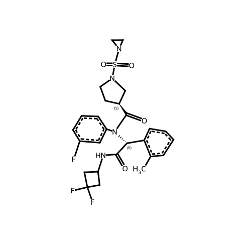 Cc1ccccc1[C@H](C(=O)NC1CC(F)(F)C1)N(C(=O)[C@H]1CCN(S(=O)(=O)N2CC2)C1)c1cccc(F)c1